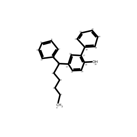 CCCCCC(c1ccccc1)c1ccc(O)c(-c2ccccc2)c1